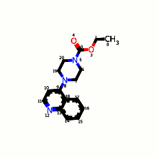 CCOC(=O)N1CCN(c2ccnc3ccccc23)CC1